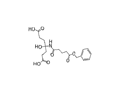 O=C(O)CCC(O)(CCC(=O)O)NC(=O)CCCC(=O)OCc1ccccc1